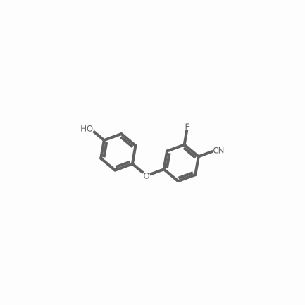 N#Cc1ccc(Oc2ccc(O)cc2)cc1F